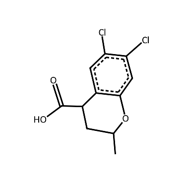 CC1CC(C(=O)O)c2cc(Cl)c(Cl)cc2O1